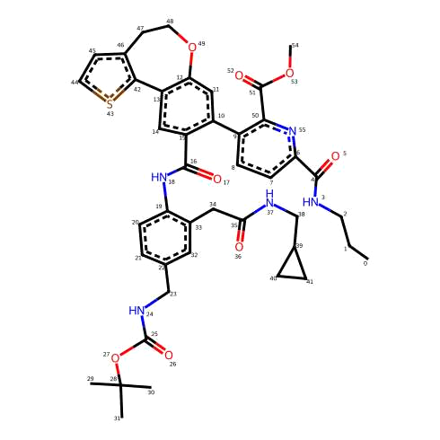 CCCNC(=O)c1ccc(-c2cc3c(cc2C(=O)Nc2ccc(CNC(=O)OC(C)(C)C)cc2CC(=O)NCC2CC2)-c2sccc2CCO3)c(C(=O)OC)n1